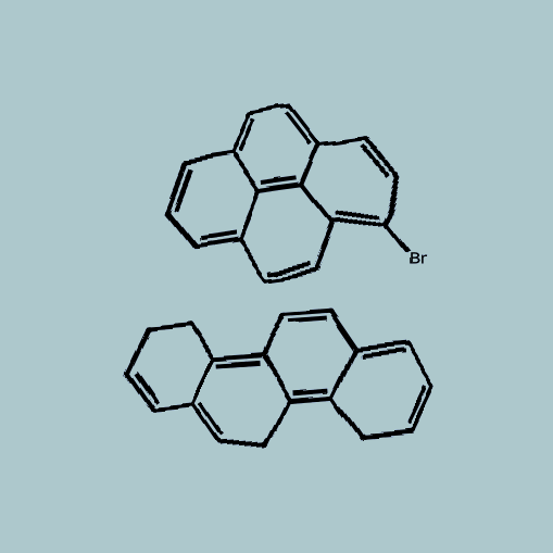 Brc1ccc2ccc3cccc4ccc1c2c34.C1=CCc2c3c(ccc2=C1)=C1CCC=CC1=CC3